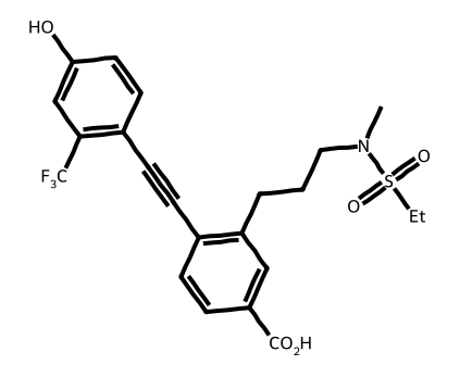 CCS(=O)(=O)N(C)CCCc1cc(C(=O)O)ccc1C#Cc1ccc(O)cc1C(F)(F)F